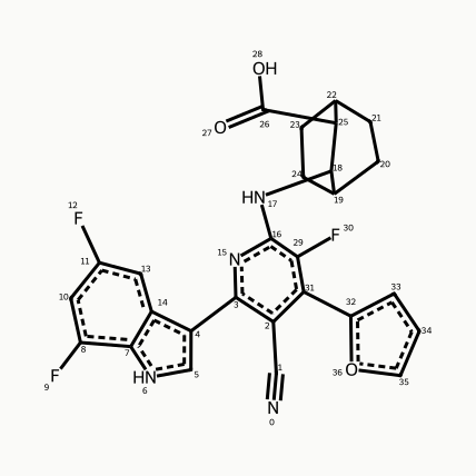 N#Cc1c(-c2c[nH]c3c(F)cc(F)cc23)nc(NC2C3CCC(CC3)C2C(=O)O)c(F)c1-c1ccco1